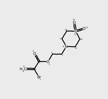 C=C(Br)C(=O)OCCN1CCS(=O)(=O)CC1